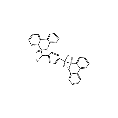 CC(C)C(C)(c1ccc(C(C)P2(=O)Oc3ccccc3-c3ccccc32)cc1)P1(=O)Oc2ccccc2-c2ccccc21